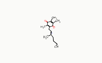 CC1=C(C)C(=O)C(C/C=C(\C)CCCC#N)=C(C)C1=O